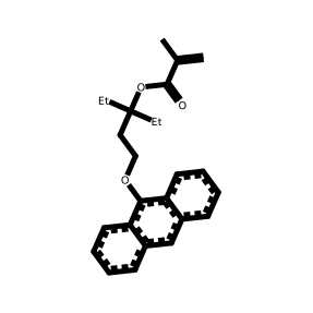 C=C(C)C(=O)OC(CC)(CC)CCOc1c2ccccc2cc2ccccc12